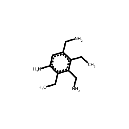 CCc1c(N)cc(CN)c(CC)c1CN